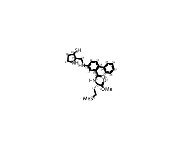 COC(=O)[C@H](CCSC)NC(=O)c1cc(NCC2NCCC2S)ccc1-c1ccccc1